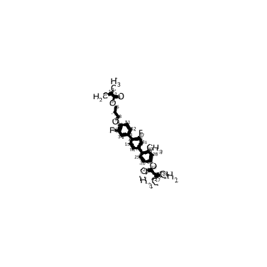 C=C(C)C(=O)OCCCOc1ccc(-c2ccc(-c3ccc(OC(=O)C(=C)C)cc3C)cc2F)cc1F